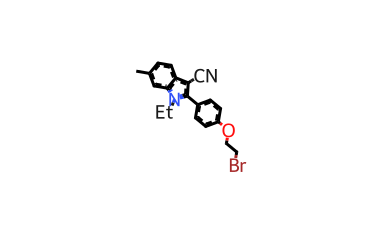 CCn1c(-c2ccc(OCCBr)cc2)c(C#N)c2ccc(C)cc21